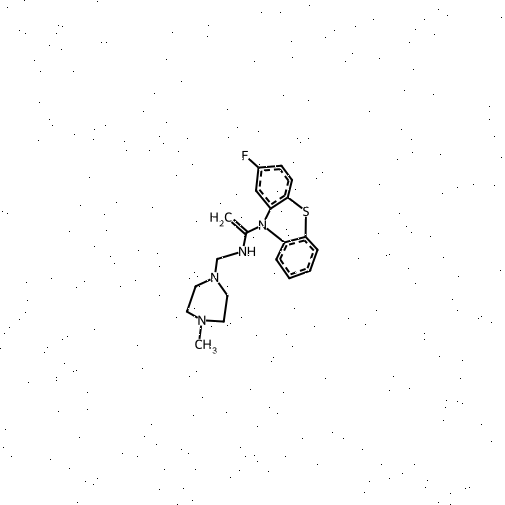 C=C(NCN1CCN(C)CC1)N1c2ccccc2Sc2ccc(F)cc21